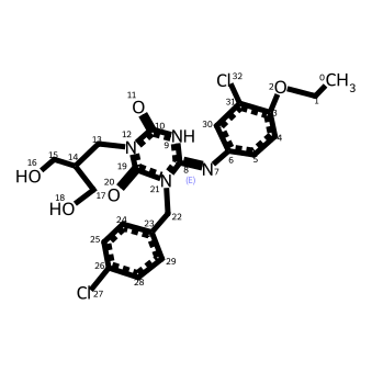 CCOc1ccc(/N=c2\[nH]c(=O)n(CC(CO)CO)c(=O)n2Cc2ccc(Cl)cc2)cc1Cl